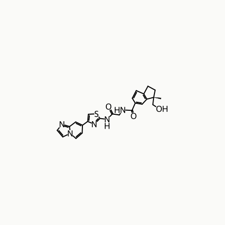 C[C@]1(CO)CCc2ccc(C(=O)NCC(=O)Nc3nc(-c4ccn5ccnc5c4)cs3)cc21